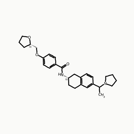 CC(c1ccc2c(c1)CC[C@H](NC(=O)c1ccc(OC[C@@H]3CCCO3)cc1)C2)N1CCCC1